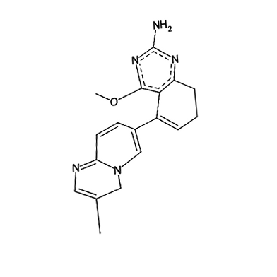 COc1nc(N)nc2c1C(C1=CN3CC(C)=CN=C3C=C1)=CCC2